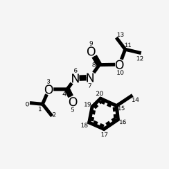 CC(C)OC(=O)N=NC(=O)OC(C)C.Cc1ccccc1